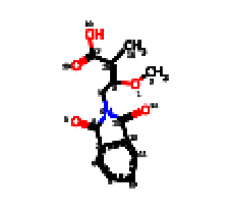 COC(CN1C(=O)c2ccccc2C1=O)=C(C)C(=O)O